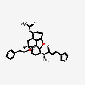 CC(=O)Oc1ccc2c3c1C[C@@H]1[C@@H]4CC[C@@H](N(C)C(=O)/C=C/c5ccoc5)[C@H](O2)[C@]34CCN1CCc1ccccc1